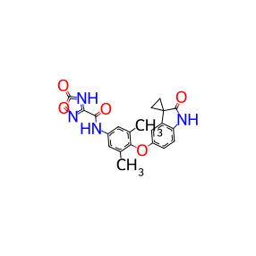 Cc1cc(NC(=O)c2noc(=O)[nH]2)cc(C)c1Oc1ccc2c(c1)C1(CC1)C(=O)N2